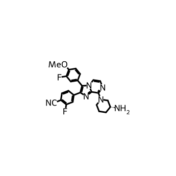 COc1ccc(-c2c(-c3ccc(C#N)c(F)c3)nc3c(N4CCC[C@@H](N)C4)nccn23)cc1F